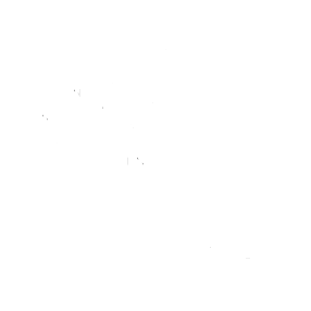 C=C(C)C(=O)OCCNC(=O)C1(c2ccccc2)C=C(CC)N=N1